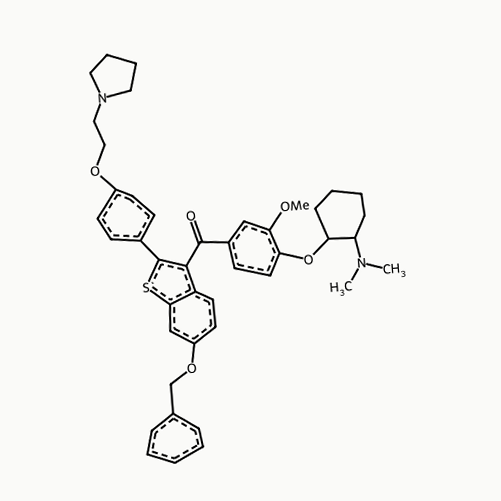 COc1cc(C(=O)c2c(-c3ccc(OCCN4CCCC4)cc3)sc3cc(OCc4ccccc4)ccc23)ccc1OC1CCCCC1N(C)C